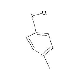 Cc1ccc(SCl)cc1